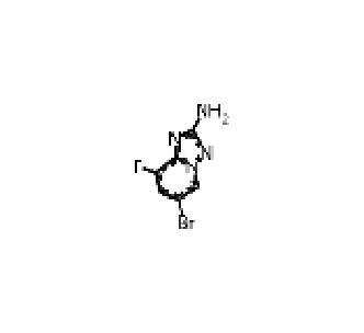 Nc1nc2c(F)cc(Br)cn2n1